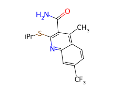 Cc1c(C(N)=O)c(SC(C)C)nc2cc(C(F)(F)F)ccc12